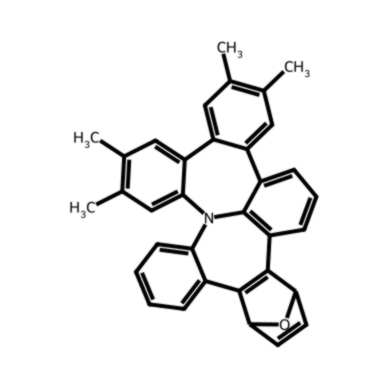 Cc1cc2c(cc1C)-c1cccc3c1N(c1ccccc1C1=C3C3C=CC1O3)c1cc(C)c(C)cc1-2